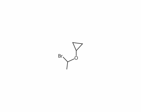 CC(Br)OC1CC1